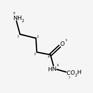 NCCCC(=O)NC(=O)O